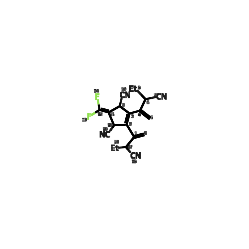 C=C(C1=C(C(=C)C(C#N)CC)C(C#N)C(=C(F)F)C1C#N)C(C#N)CC